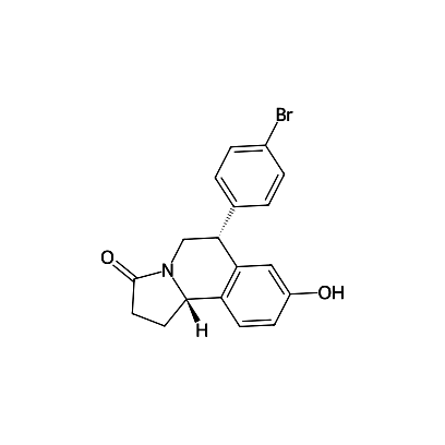 O=C1CC[C@H]2c3ccc(O)cc3[C@@H](c3ccc(Br)cc3)CN12